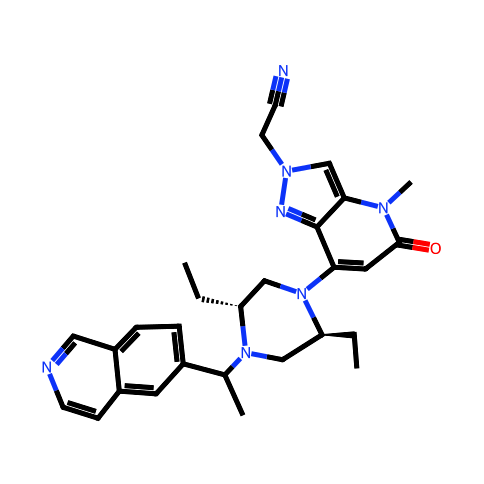 CC[C@H]1CN(C(C)c2ccc3cnccc3c2)[C@H](CC)CN1c1cc(=O)n(C)c2cn(CC#N)nc12